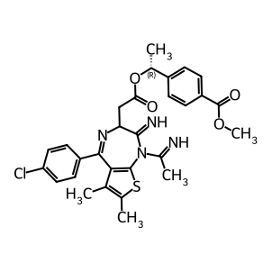 COC(=O)c1ccc([C@@H](C)OC(=O)CC2N=C(c3ccc(Cl)cc3)c3c(sc(C)c3C)N(C(C)=N)C2=N)cc1